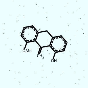 C=C1c2c(O)cccc2Cc2cccc(OC)c21